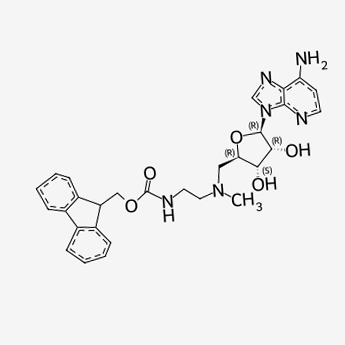 CN(CCNC(=O)OCC1c2ccccc2-c2ccccc21)C[C@H]1O[C@@H](n2cnc3c(N)ccnc32)[C@H](O)[C@@H]1O